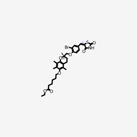 CCOC(=O)CCCCCOc1c(C)c(C)c2c(c1C)CC[C@@](C)(COc1ccc(/C=C3/SC(=O)NC3=O)cc1Br)O2